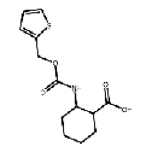 O=C(NC1CCCCC1C(=O)O)OCc1cccs1